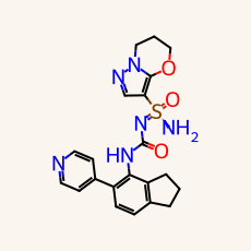 N[S@@](=O)(=NC(=O)Nc1c(-c2ccncc2)ccc2c1CCC2)c1cnn2c1OCCC2